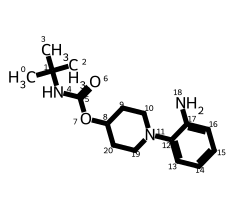 CC(C)(C)NC(=O)OC1CCN(c2ccccc2N)CC1